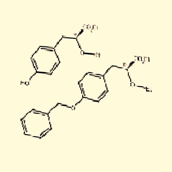 CCOC(=O)[C@H](Cc1ccc(O)cc1)OCC.CCOC(=O)[C@H](Cc1ccc(OCc2ccccc2)cc1)OCC